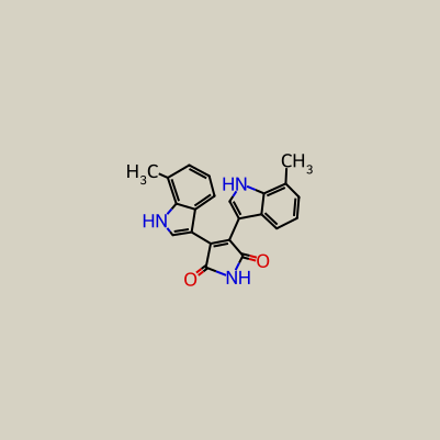 Cc1cccc2c(C3=C(c4c[nH]c5c(C)cccc45)C(=O)NC3=O)c[nH]c12